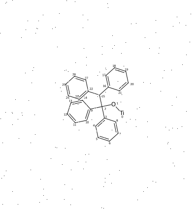 [Ti][O]C(c1ccccc1)(c1ccccc1)C(c1ccccc1)c1ccccc1